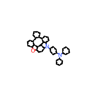 c1ccc(N(c2ccccc2)c2ccc(-n3c4cccc5c6ccccc6c6cccc7oc8ccc3c(c8c76)c54)cc2)cc1